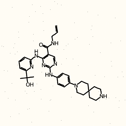 C=CCNC(=O)c1cnc(Nc2ccc(N3CCC4(CCNCC4)CC3)cc2)nc1Nc1cccc(C(C)(C)O)n1